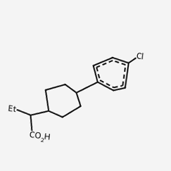 CCC(C(=O)O)C1CCC(c2ccc(Cl)cc2)CC1